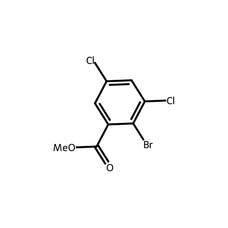 COC(=O)c1cc(Cl)cc(Cl)c1Br